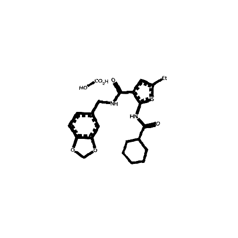 CCc1cc(C(=O)NCc2ccc3c(c2)OCO3)c(NC(=O)C2CCCCC2)s1.O=C(O)O